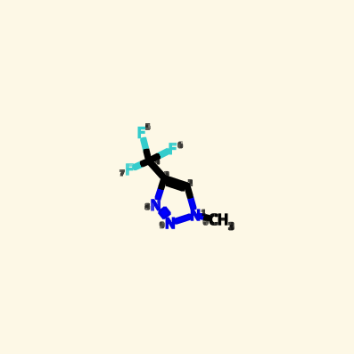 Cn1cc(C(F)(F)F)nn1